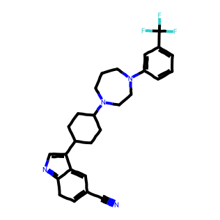 N#CC1=CCC2=NC=C(C3CCC(N4CCCN(c5cccc(C(F)(F)F)c5)CC4)CC3)C2=C1